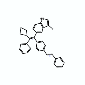 Fc1n[nH]c2ccc(/C(=C(/c3ccccc3)C3CCC3)c3ccc(/C=C/c4cccnc4)cc3)cc12